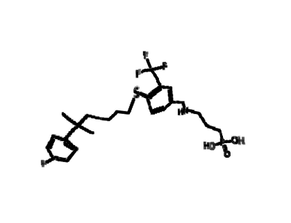 CC(C)(CCCCSc1ccc(CNCCCP(=O)(O)O)cc1C(F)(F)F)c1ccc(F)cc1